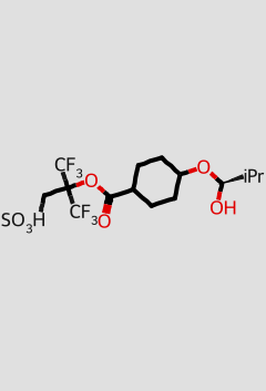 CC(C)[C@@H](O)OC1CCC(C(=O)OC(CS(=O)(=O)O)(C(F)(F)F)C(F)(F)F)CC1